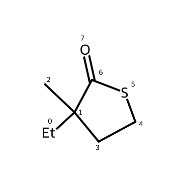 CCC1(C)CCSC1=O